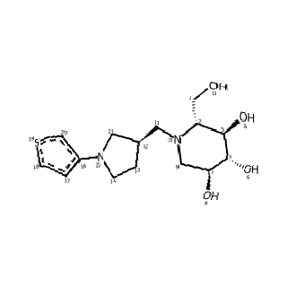 OC[C@@H]1[C@@H](O)[C@H](O)[C@@H](O)CN1C[C@H]1CCN(c2ccsc2)C1